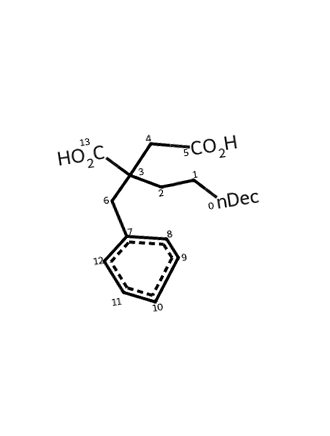 CCCCCCCCCCCCC(CC(=O)O)(Cc1ccccc1)C(=O)O